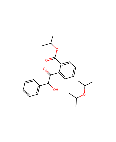 CC(C)OC(=O)c1ccccc1C(=O)C(O)c1ccccc1.CC(C)OC(C)C